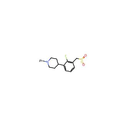 CC(C)N1CCC(c2cccc(C[SH](=O)=O)c2F)CC1